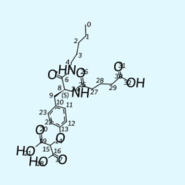 CCCCCNC(=O)[C@H](Cc1ccc(OC(C(=O)O)C(=O)O)cc1)NC(=O)CCCC(=O)O